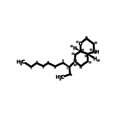 CCCCCCC[C@H](CC)N1CC[C@H]2NCCO[C@@H]2C1